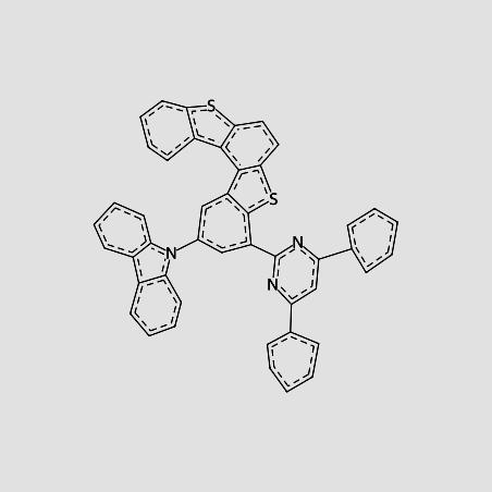 c1ccc(-c2cc(-c3ccccc3)nc(-c3cc(-n4c5ccccc5c5ccccc54)cc4c3sc3ccc5sc6ccccc6c5c34)n2)cc1